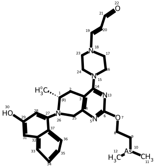 C[C@@H]1Cc2c(nc(OCC[As](C)C)nc2N2CCN(C=CC=O)CC2)CN1c1cc(O)cc2ccccc12